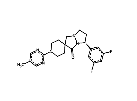 Cc1cnc(N2CCC3(CC2)CN2CC[C@@H](c4cc(F)cc(F)c4)N2C3=O)nc1